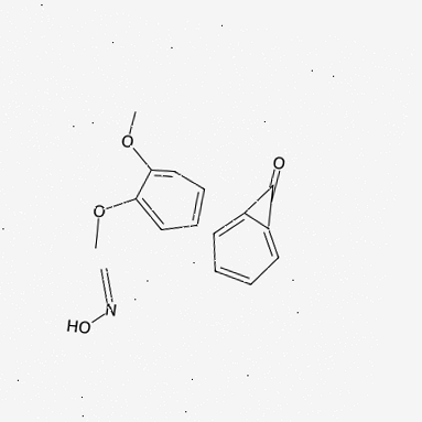 C=NO.COc1ccccc1OC.O=c1c2ccccc12